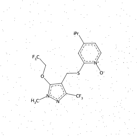 CC(C)c1cc[n+]([O-])c(SCc2c(C(F)(F)F)nn(C)c2OCC(F)(F)F)c1